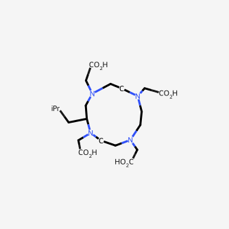 CC(C)CC1CN(CC(=O)O)CCN(CC(=O)O)CCN(CC(=O)O)CCN1CC(=O)O